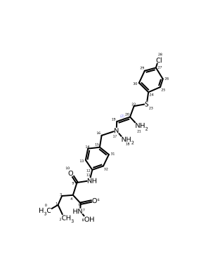 CC(C)CC(C(=O)NO)C(=O)Nc1ccc(CN(N)/C=C(\N)CSc2ccc(Cl)cc2)cc1